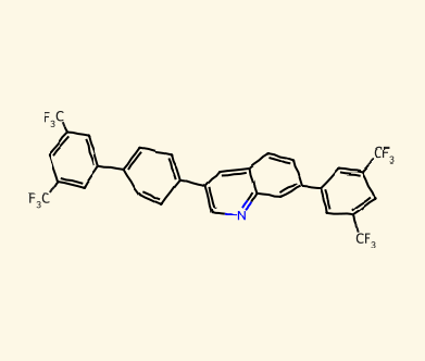 FC(F)(F)c1cc(-c2ccc(-c3cnc4cc(-c5cc(C(F)(F)F)cc(C(F)(F)F)c5)ccc4c3)cc2)cc(C(F)(F)F)c1